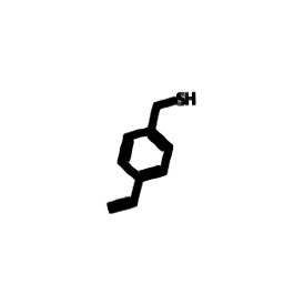 C=Cc1ccc(CS)cc1